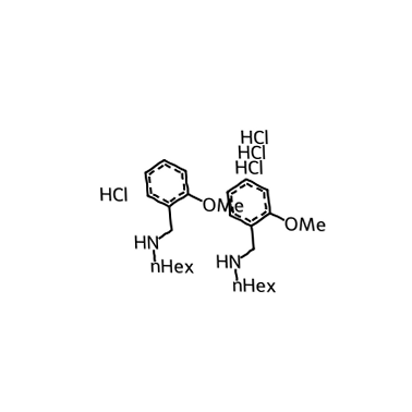 CCCCCCNCc1ccccc1OC.CCCCCCNCc1ccccc1OC.Cl.Cl.Cl.Cl